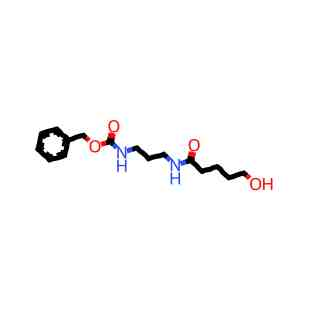 O=C(CCCCO)NCCCNC(=O)OCc1ccccc1